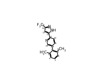 Cc1cccc(C)c1-c1ccc(-c2cc(C(F)(F)F)n[nH]2)nc1